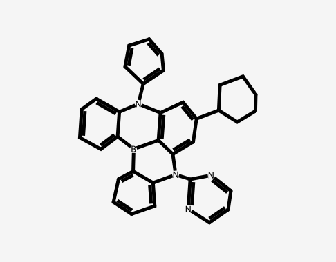 c1ccc(N2c3ccccc3B3c4ccccc4N(c4ncccn4)c4cc(C5CCCCC5)cc2c43)cc1